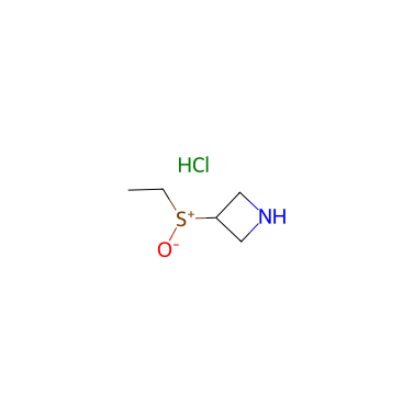 CC[S+]([O-])C1CNC1.Cl